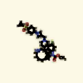 COC(=O)N[C@H]1CC2=C[C@@H]1[C@](c1cccc(F)c1)(C1CCN(CC3CN(c4ccc(S(=O)(=O)C5CC5)cc4)C3)CC1)CNCCCC2